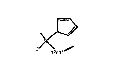 CCCCCC.C[Si](C)(Cl)C1C=CC=C1